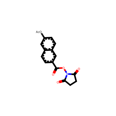 CC(=O)Oc1ccc2cc(C(=O)ON3C(=O)CCC3=O)ccc2c1